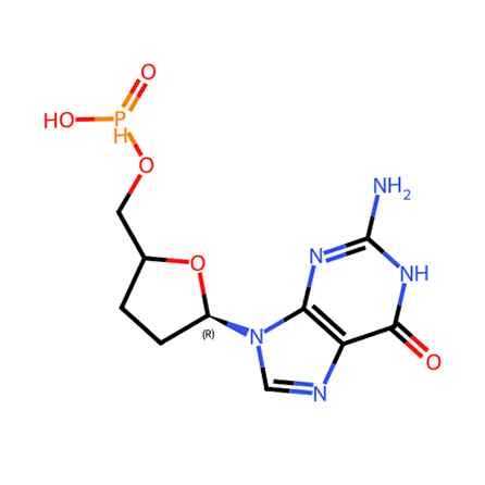 Nc1nc2c(ncn2[C@H]2CCC(CO[PH](=O)O)O2)c(=O)[nH]1